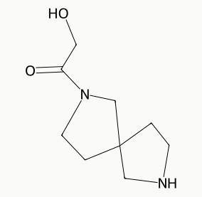 O=C(CO)N1CCC2(CCNC2)C1